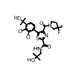 CC(C)(O)CNC(=O)c1nc(C(=O)N2CCC(F)(F)C2)c(-c2ccc(C(C)(C)O)c(Cl)c2Cl)s1